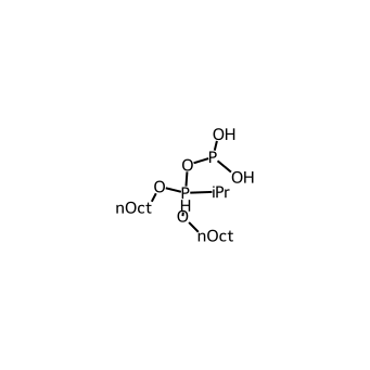 CCCCCCCCO[PH](OCCCCCCCC)(OP(O)O)C(C)C